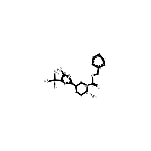 CC[C@](C)(O)c1nc(C2CC[C@@H](C)N(C(=O)OCc3ccccc3)C2)oc1C